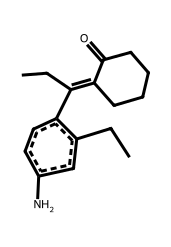 CCC(=C1CCCCC1=O)c1ccc(N)cc1CC